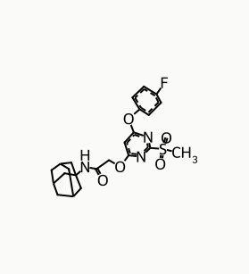 CS(=O)(=O)c1nc(OCC(=O)NC23CC4CC(CC(C4)C2)C3)cc(Oc2ccc(F)cc2)n1